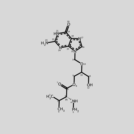 CC(C)[C@@H](NP)C(=O)OCC(CO)OCn1cnc2c(=O)[nH]c(N)nc21